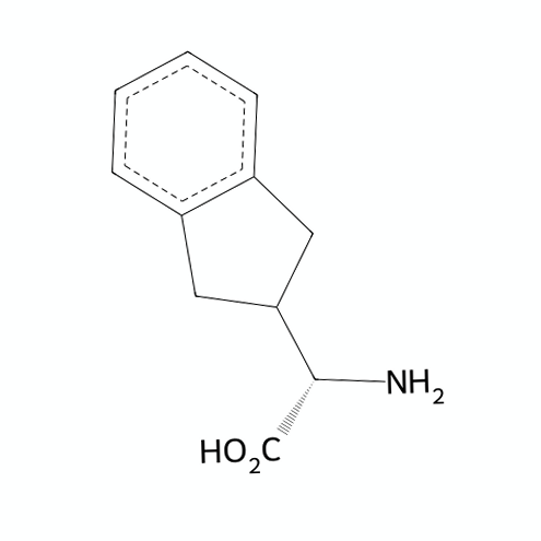 N[C@H](C(=O)O)C1Cc2ccccc2C1